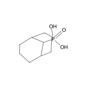 O=P(O)(O)C1C2CCCC1CCC2